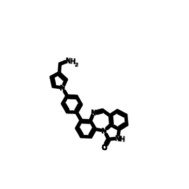 NCc1ccn(-c2ccc(-c3cccc4c3N=Cc3cccc5[nH]c(=O)n-4c35)cc2)c1